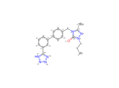 CC(C)CCn1nc(C(C)(C)C)n(Cc2ccc(-c3cccc(-c4nnn[nH]4)c3)cc2)c1=O